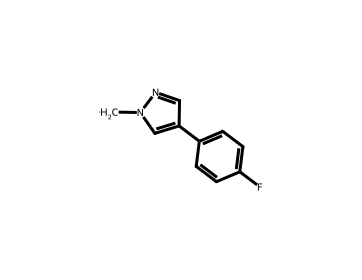 [CH2]n1cc(-c2ccc(F)cc2)cn1